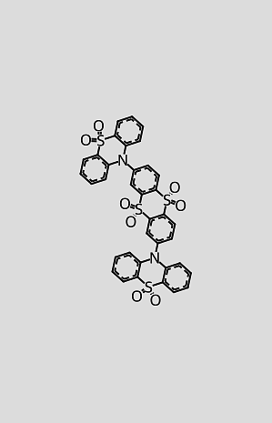 O=S1(=O)c2ccccc2N(c2ccc3c(c2)S(=O)(=O)c2cc(N4c5ccccc5S(=O)(=O)c5ccccc54)ccc2S3(=O)=O)c2ccccc21